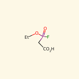 CCOP(=O)(F)CC(=O)O